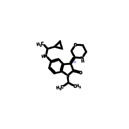 CC(Nc1ccc2c(c1)/C(=C1\COCCN1)C(=O)N2C(C)C)C1CC1